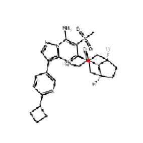 CS(=O)(=O)c1c([C@H]2C[C@H]3CC[C@@H](C2)N3C(=O)CO)nc2c(-c3ccc(C4CCC4)nc3)cnn2c1N